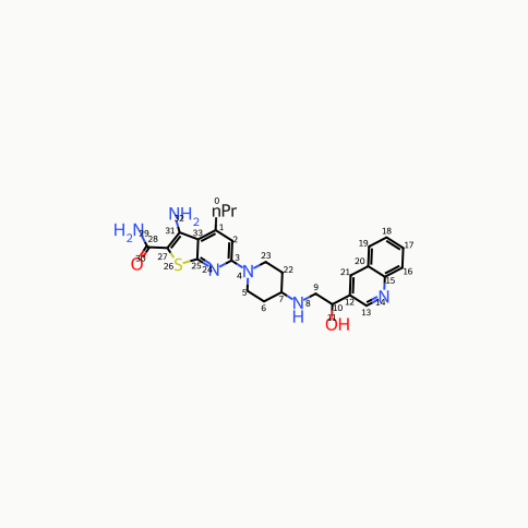 CCCc1cc(N2CCC(NCC(O)c3cnc4ccccc4c3)CC2)nc2sc(C(N)=O)c(N)c12